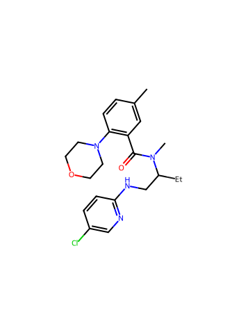 CCC(CNc1ccc(Cl)cn1)N(C)C(=O)c1cc(C)ccc1N1CCOCC1